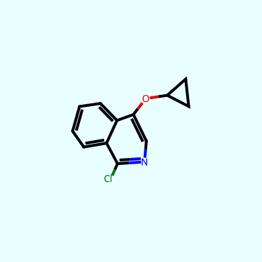 Clc1ncc(OC2CC2)c2ccccc12